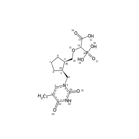 Cc1cn(C[C@H]2CCC[C@H]2COC(C(=O)O)P(=O)(O)O)c(=O)[nH]c1=O